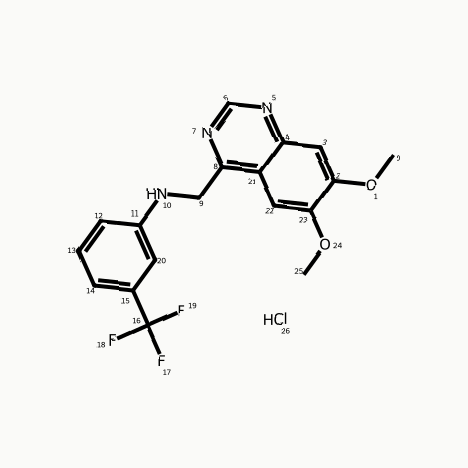 COc1cc2ncnc(CNc3cccc(C(F)(F)F)c3)c2cc1OC.Cl